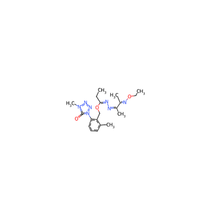 CCO/N=C(\C)C(C)=N/N=C(/CC)OCc1c(C)cccc1-n1nnn(C)c1=O